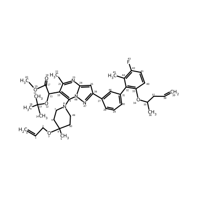 C=CCOC1(C)CCN(c2c(C(OC(C)(C)C)C(=O)OC)c(C)nc3cc(-c4cccc(-c5c(OC(C)CC=C)ccc(F)c5C)c4)nn23)CC1